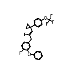 FC(=CC1(c2ccc(OC(F)(F)F)cc2)CC1)Cc1ccc(F)c(Oc2ccccc2)c1